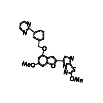 COc1cc(OCc2cccc(-c3ncccn3)c2)c2cc(-c3cnc4sc(OC)nn34)oc2c1